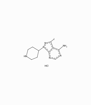 Cl.Nc1ncnc2c1c(I)nn2C1CCNCC1